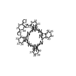 Clc1ccc(Cl)[c]([Zn][c]2cccc3c4nc5nc(nc6[nH]c(nc7nc(nc([nH]4)c23)-c2ccccc2-7)c2ccccc62)-c2ccccc2-5)c1